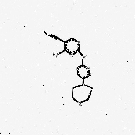 CC#Cc1cnc(Nc2ccc(N3CCNCC3)cn2)nc1N